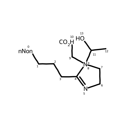 CCCCCCCCCCCCC1=NCC[N+]1(CC(=O)O)C(C)O